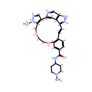 CN1CCC(NC(=O)c2ccc3c(c2)OCCOCc2c(cnn2C)-c2cc4c(n[nH]c4cn2)/C=C/3)CC1